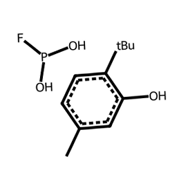 Cc1ccc(C(C)(C)C)c(O)c1.OP(O)F